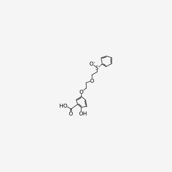 O=C(O)c1cc(OCCOCC[S+]([O-])c2ccccc2)ccc1O